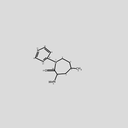 CNC1CC(C)CCN(c2ccncn2)C1=O